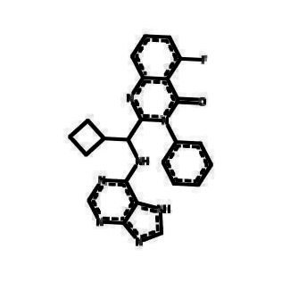 O=c1c2c(F)cccc2nc(C(Nc2ncnc3nc[nH]c23)C2CCC2)n1-c1ccccc1